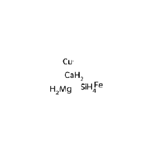 [CaH2].[Cu].[Fe].[MgH2].[SiH4]